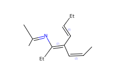 C\C=C/C(/C=C/CC)=C(\CC)N=C(C)C